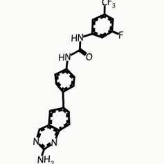 Nc1ncc2cc(-c3ccc(NC(=O)Nc4cc(F)cc(C(F)(F)F)c4)cc3)ccc2n1